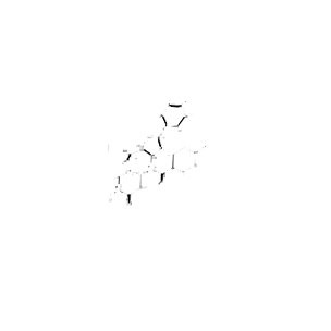 CC1CCC(C(=O)N(c2cc(-c3ccccc3)sc2C(=O)O)C2CCN(C)C(=O)C2)CC1